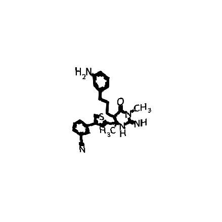 CN1C(=N)N[C@](C)(c2cc(-c3cccc(C#N)c3)cs2)C(CCCc2cccc(N)c2)C1=O